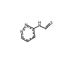 S=[C]Nc1cccnn1